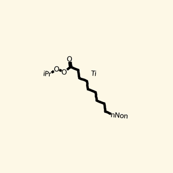 CCCCCCCCCCCCCCCCCC(=O)OOC(C)C.[Ti]